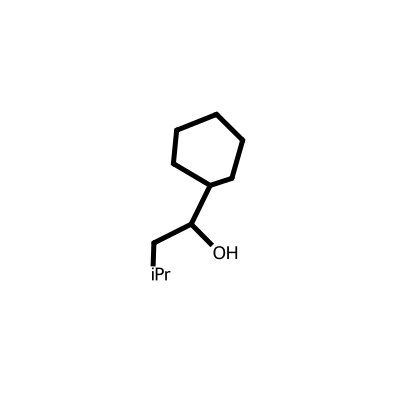 CC(C)CC(O)C1CCCCC1